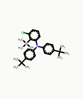 CC(C)(C)c1ccc(N(c2ccc(C(C)(C)C)cc2)c2cccc(Cl)c2[Si](C)(C)C)cc1